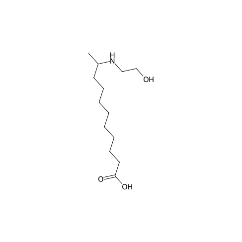 CC(CCCCCCCCC(=O)O)NCCO